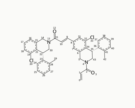 C=CC(=O)N1Cc2cc(/C=C/C(=O)N3Cc4cccc(Cl)c4[C@@H](c4ccccc4C)C3)cc(Cl)c2[C@H](c2ccccc2C)C1